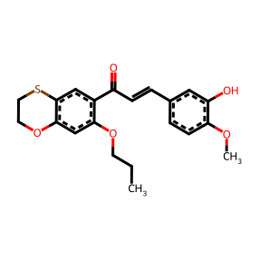 CCCOc1cc2c(cc1C(=O)/C=C/c1ccc(OC)c(O)c1)SCCO2